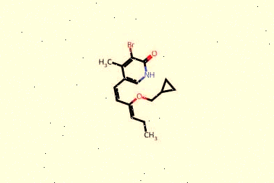 CC/C=C(/C=C\c1c[nH]c(=O)c(Br)c1C)OCC1CC1